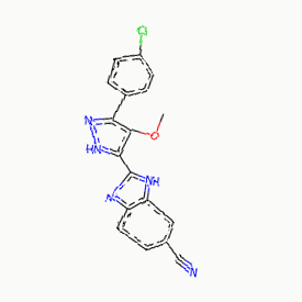 COc1c(-c2ccc(Cl)cc2)n[nH]c1-c1nc2ccc(C#N)cc2[nH]1